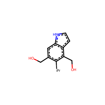 CC(C)c1c(CO)cc2[nH]ccc2c1CO